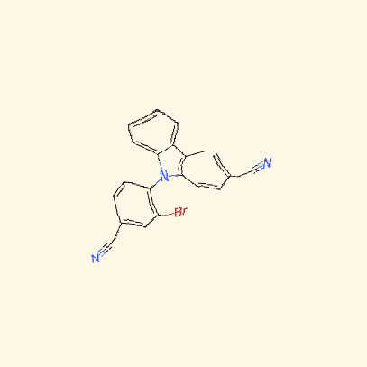 C=C(C#N)/C=C\c1c(C)c2ccccc2n1-c1ccc(C#N)cc1Br